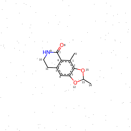 Cc1c2c(cc3c1C(=O)NCC3)OC(C)O2